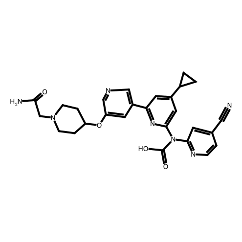 N#Cc1ccnc(N(C(=O)O)c2cc(C3CC3)cc(-c3cncc(OC4CCN(CC(N)=O)CC4)c3)n2)c1